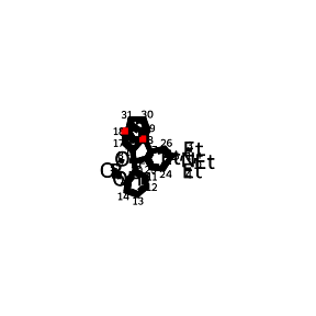 CC[N+](CC)(CC)CC.[O-]B(O)OC(c1ccccc1)(c1ccccc1)c1ccccc1-c1ccccc1